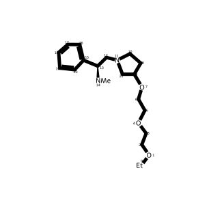 CCOCCOCCOC1CCN(C[C@@H](NC)c2ccccc2)C1